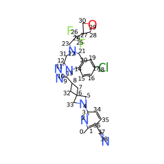 Cc1nc(N2CC3(CC(c4nnc5n4-c4ccc(Cl)cc4CN(CC(F)(F)C4COC4)C5)C3)C2)ccc1C#N